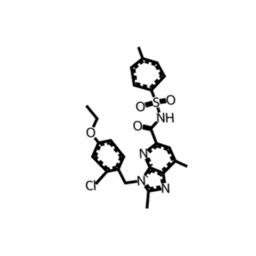 CCOc1ccc(Cn2c(C)nc3c(C)cc(C(=O)NS(=O)(=O)c4ccc(C)cc4)nc32)c(Cl)c1